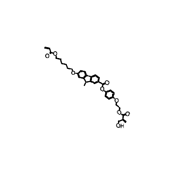 C=CC(=O)OCCCCCCOc1ccc2c(c1)C(C)c1cc(C(=O)Oc3ccc(OCCOC(=O)C(=C)CO)cc3)ccc1-2